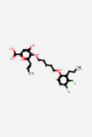 C/C=C/c1oc(C(=O)O)cc(=O)c1OCCCCCOc1ccc(Cl)c(Cl)c1CCC